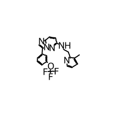 Cc1cccnc1CCNc1ccc2ncc(-c3cccc(OC(F)(F)F)c3)n2n1